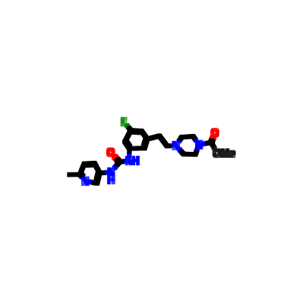 COC(=O)N1CCN(CCc2cc(F)cc(NC(=O)Nc3ccc(C)nc3)c2)CC1